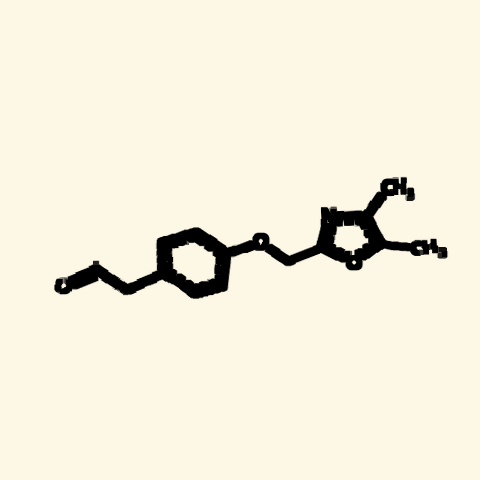 Cc1nc(COc2ccc(C[C]=O)cc2)oc1C